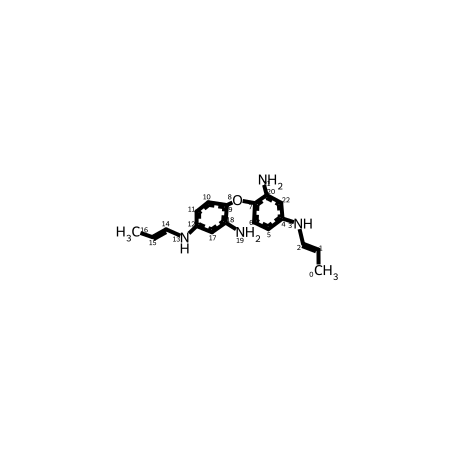 CC=CNc1ccc(Oc2ccc(NC=CC)cc2N)c(N)c1